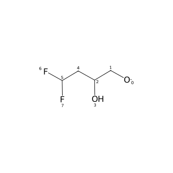 [O]CC(O)CC(F)F